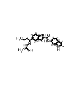 CCCC(=NNC(C)=N)c1ccc2[nH]c(C(=O)Nc3ccc4cc[nH]c4c3)cc2c1